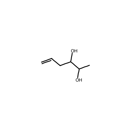 C=CCC(O)C(C)O